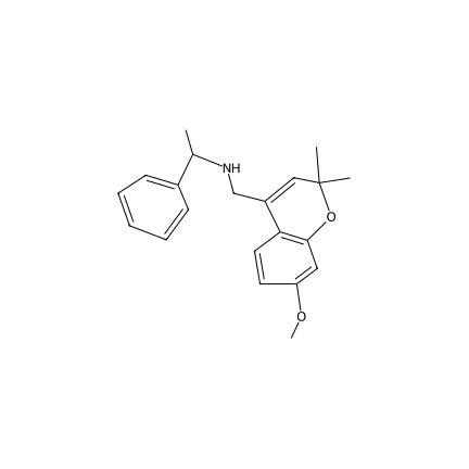 COc1ccc2c(c1)OC(C)(C)C=C2CNC(C)c1ccccc1